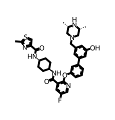 Cc1nc(C(=O)N[C@H]2CC[C@H](NC(=O)c3cc(F)cnc3Oc3cccc(-c4cc(O)cc(CN5C[C@@H](C)N[C@@H](C)C5)c4)c3)CC2)cs1